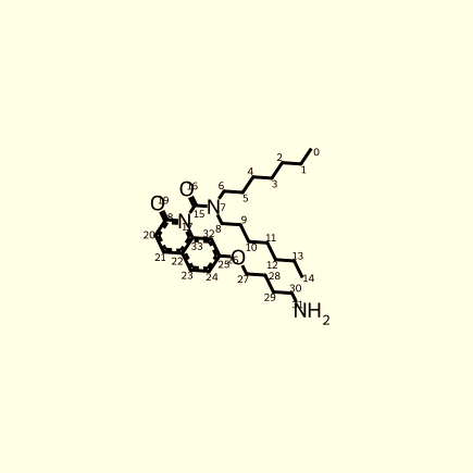 CCCCCCCN(CCCCCCC)C(=O)n1c(=O)ccc2ccc(OCCCCN)cc21